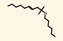 CCCCCC=CCC(C)(C)[N]CCCCCC